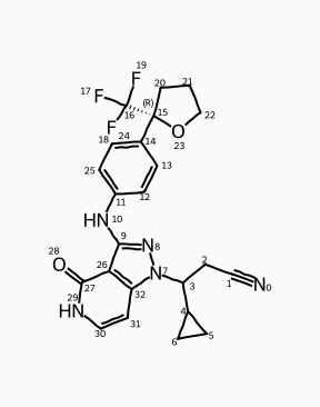 N#CCC(C1CC1)n1nc(Nc2ccc([C@@]3(C(F)(F)F)CCCO3)cc2)c2c(=O)[nH]ccc21